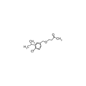 CC(=O)CCOCc1ccc(Cl)c(C(C)C)c1